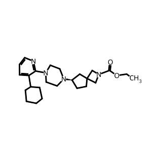 CCOC(=O)N1CC2(CC[C@@H](N3CCN(c4ncccc4C4CCCCC4)CC3)C2)C1